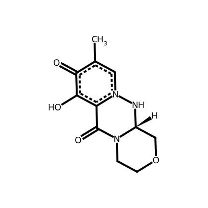 Cc1cn2c(c(O)c1=O)C(=O)N1CCOC[C@H]1N2